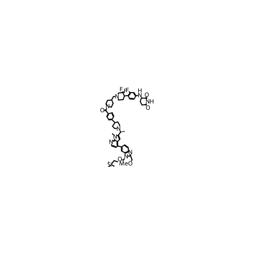 COCc1nc2ccc(-c3ccnc4c3cc([C@H](C)N3CCC(c5ccc(C(=O)N6CCC(CN7CCC(c8ccc(NC9CCC(=O)NC9=O)cc8F)C(F)(F)C7)CC6)cc5)CC3)n4C)cc2n1COCC[Si](C)(C)C